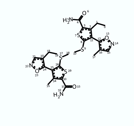 CCc1c(C(N)=O)sc(SC)c1-c1oncc1C.CCc1cnoc1-c1c(SC)sc(C(N)=O)c1C